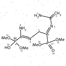 C=C(N)/N=C(\C/N=C(\N)[PH](O)(OC)OC)P(=O)(OC)OC